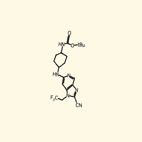 CC(C)(C)OC(=O)NC1CCC(Nc2cc3c(cn2)nc(C#N)n3CC(F)(F)F)CC1